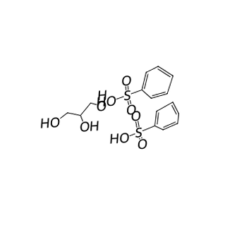 O=S(=O)(O)c1ccccc1.O=S(=O)(O)c1ccccc1.OCC(O)CO